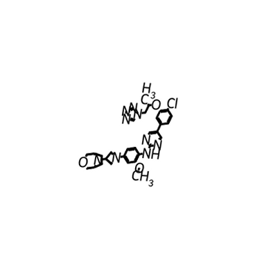 COc1cc(N2CC(N3C4CCC3COC4)C2)ccc1Nc1ncc(-c2ccc(Cl)c(OC(C)Cn3cnnn3)c2)cn1